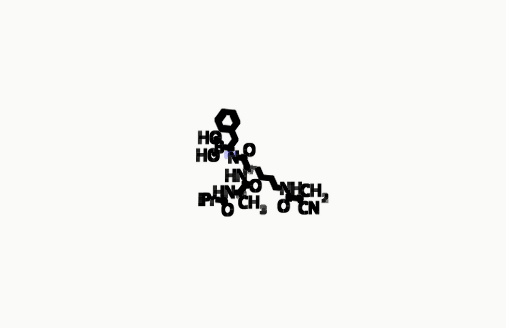 C=C(C#N)C(=O)NCCCC[C@H](NC(=O)[C@H](C)NC(=O)C(C)C)C(=O)/N=C(\Cc1ccccc1)B(O)O